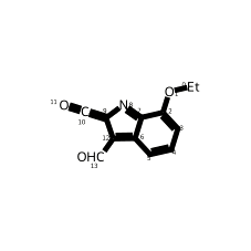 CCOc1cccc2c1=NC(=C=O)C=2C=O